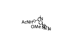 COc1cc2c(C3CC(NC(C)=O)C3)cc(C)nc2cc1-n1cc(CN(C)C)nn1